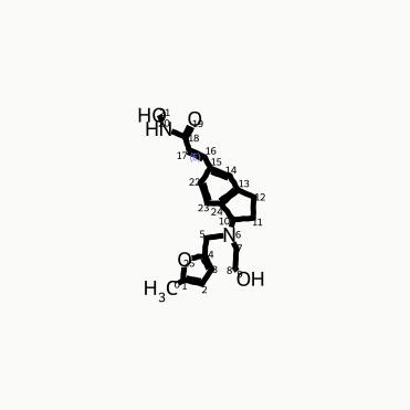 Cc1ccc(CN(CCO)C2CCc3cc(/C=C/C(=O)NO)ccc32)o1